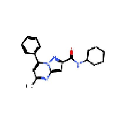 Cc1cc(-c2ccccc2)n2nc(C(=O)NC3CCCCC3)cc2n1